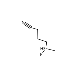 C[SiH](F)CCCC#N